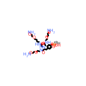 CC(C)(C)P(=O)(O)Oc1ccc(CC(C(=O)NCCOCCON)N(CC(=O)NCCCCOCCON)CC(=O)NCCOCCON)cc1